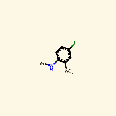 CC(C)Nc1ccc(F)cc1[N+](=O)[O-]